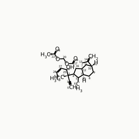 C#C[C@@](C)(C1C(C)[C@@H]2CC[C@@H]3C[C@]2(CC3=C)[C@H]1C(=O)OCOC(C)=O)[C@@H](O)/C=C\C